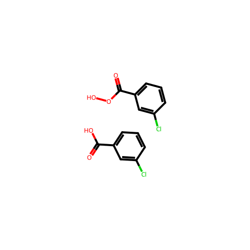 O=C(O)c1cccc(Cl)c1.O=C(OO)c1cccc(Cl)c1